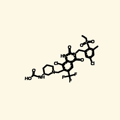 CCS(=O)(=O)c1c(C)cc(Cl)cc1Cn1c(=O)[nH]c2c(Cl)c(CN3CCC[C@@H](NC(=O)O)C3)c(C(F)(F)F)cc2c1=O